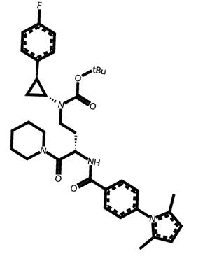 Cc1ccc(C)n1-c1ccc(C(=O)N[C@@H](CCN(C(=O)OC(C)(C)C)[C@@H]2C[C@H]2c2ccc(F)cc2)C(=O)N2CCCCC2)cc1